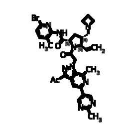 C=C[C@@H]1[C@@H](CN2CCC2)C[C@@H](C(=O)Nc2nc(Br)ccc2C)N1C(=O)Cn1nc(C(C)=O)c2cc(-c3cnc(C)nc3)nc(C)c21